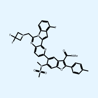 CNC(=O)c1c(-c2ccc(C)cc2)oc2cc(N(C)S(C)(=O)=O)c(-c3ccc4nc(CN5CC(F)(F)C5)n5c6cccc(F)c6cc5c4n3)cc12